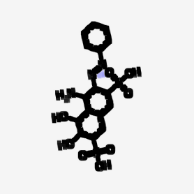 Nc1c(/N=N/c2ccccc2)c(S(=O)(=O)O)cc2cc(S(=O)(=O)O)c(O)c(O)c12